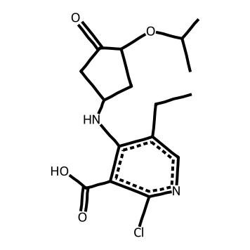 CCc1cnc(Cl)c(C(=O)O)c1NC1CC(=O)C(OC(C)C)C1